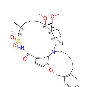 COC[C@]1(OC)CCC[C@H](C)[C@@H](C)S(=O)(=O)NC(=O)c2ccc3c(c2)N(CCCCc2cc(Cl)ccc2CO3)C[C@@H]2CC[C@H]21